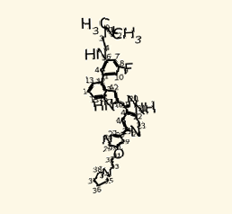 CN(C)CCNc1cc(F)cc(-c2cccc3[nH]c(-c4n[nH]c5cnc(-c6cncc(OCCN7CCCC7)c6)cc45)cc23)c1